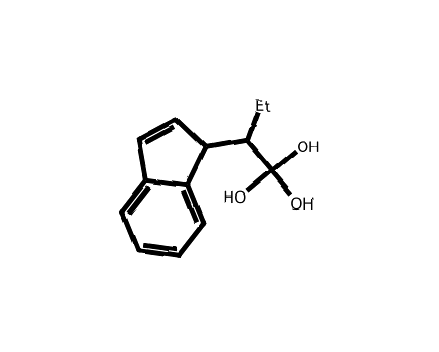 CCC(C1C=Cc2ccccc21)C(O)(O)O